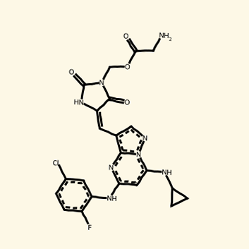 NCC(=O)OCN1C(=O)NC(=Cc2cnn3c(NC4CC4)cc(Nc4cc(Cl)ccc4F)nc23)C1=O